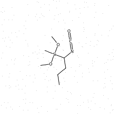 CCCC(N=C=O)[Si](C)(OC)OC